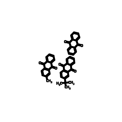 CC(C)(C)c1ccc2c(c1)C(=O)c1ccccc1C2=O.Cc1ccc2c(c1)C(=O)c1ccccc1C2=O.O=C1c2ccccc2C(=O)c2ccccc21